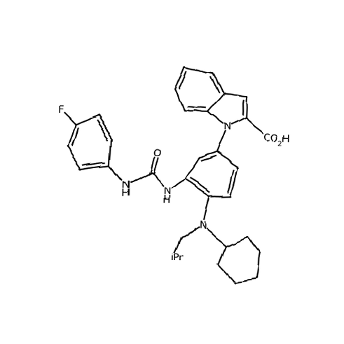 CC(C)CN(c1ccc(-n2c(C(=O)O)cc3ccccc32)cc1NC(=O)Nc1ccc(F)cc1)C1CCCCC1